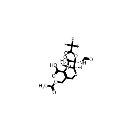 CC(=O)OCC1=C(C(=O)O)[N+]2(N)C(=O)[C@@](NC=O)(OC(=O)C(F)(F)F)[C@H]2SC1